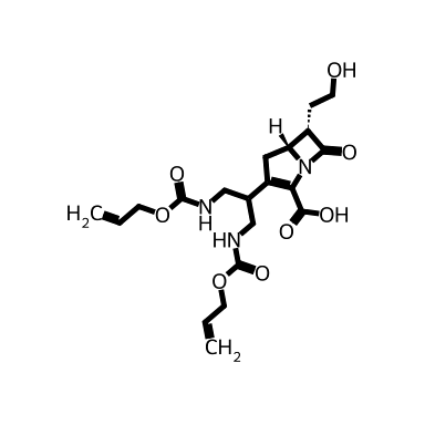 C=CCOC(=O)NCC(CNC(=O)OCC=C)C1=C(C(=O)O)N2C(=O)[C@@H](CCO)[C@H]2C1